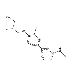 Cc1nc(-c2ccnc(NC(=O)O)n2)ccc1OCC(C)CC(C)C